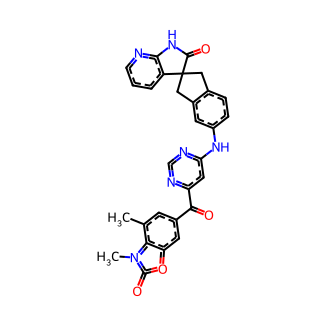 Cc1cc(C(=O)c2cc(Nc3ccc4c(c3)CC3(C4)C(=O)Nc4ncccc43)ncn2)cc2oc(=O)n(C)c12